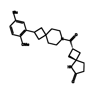 COc1ccc(C(C)(C)C)cc1C1CC2(CCN(C(=O)[C@H]3C[C@]4(CCC(=O)N4)C3)CC2)C1